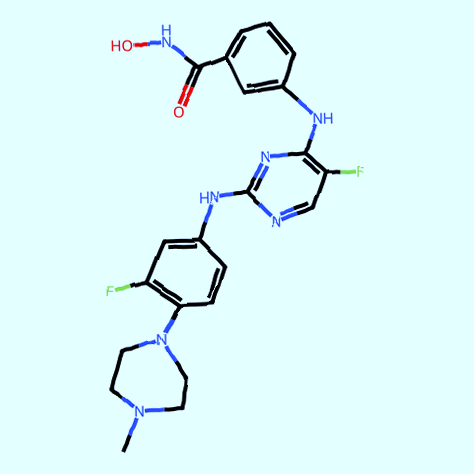 CN1CCN(c2ccc(Nc3ncc(F)c(Nc4cccc(C(=O)NO)c4)n3)cc2F)CC1